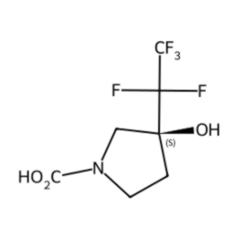 O=C(O)N1CC[C@@](O)(C(F)(F)C(F)(F)F)C1